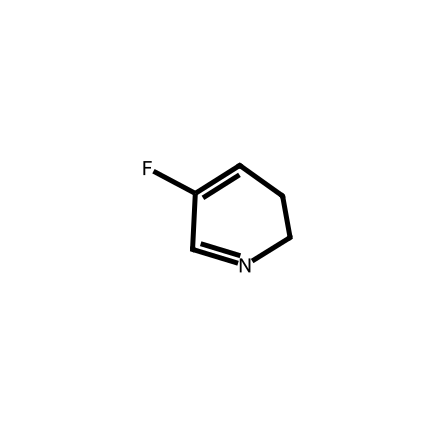 FC1=CCCN=C1